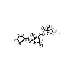 CCC(C)(C)C(=O)OCc1cc(Cl)cc(SCc2ccccc2)c1Cl